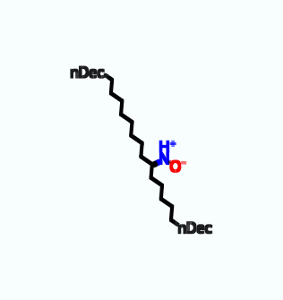 CCCCCCCCCCCCCCCCCCC(CCCCCCCCCCCCCCC)=[NH+][O-]